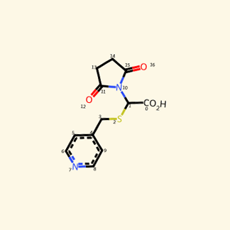 O=C(O)C(SCc1ccncc1)N1C(=O)CCC1=O